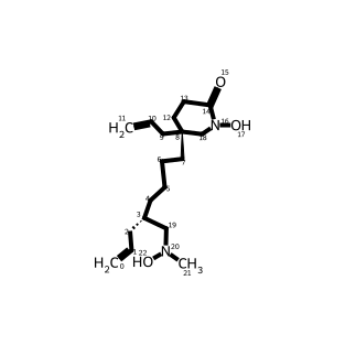 C=CC[C@H](CCCC[C@@]1(CC=C)CCC(=O)N(O)C1)CN(C)O